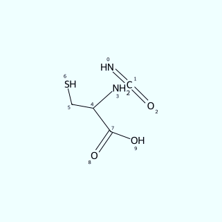 N=C=O.NC(CS)C(=O)O